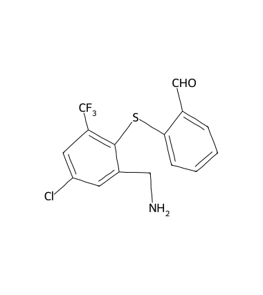 NCc1cc(Cl)cc(C(F)(F)F)c1Sc1ccccc1C=O